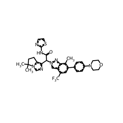 Cc1c(-c2ccc(N3CCOCC3)cc2)cc(C(F)(F)F)c2cn(C(C(=O)Nc3nccs3)c3ncn4c3CCC4(C)C)nc12